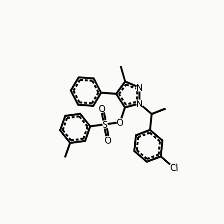 Cc1cccc(S(=O)(=O)Oc2c(-c3ccccc3)c(C)nn2C(C)c2cccc(Cl)c2)c1